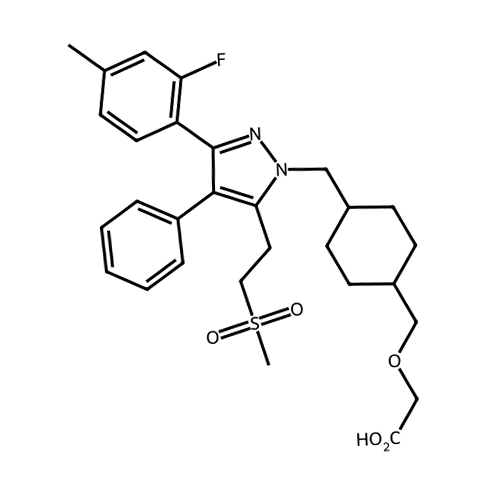 Cc1ccc(-c2nn(CC3CCC(COCC(=O)O)CC3)c(CCS(C)(=O)=O)c2-c2ccccc2)c(F)c1